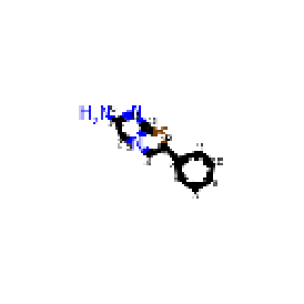 Nc1cn2cc(-c3ccccc3)sc2n1